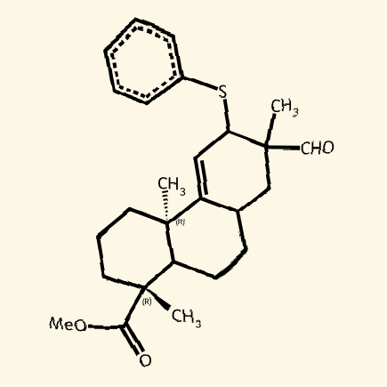 COC(=O)[C@]1(C)CCC[C@@]2(C)C3=CC(Sc4ccccc4)C(C)(C=O)CC3CCC12